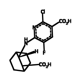 O=C(O)c1cc(F)c(N[C@H]2C3CCC(CC3)C2C(=O)O)nc1Cl